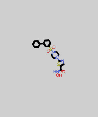 O=C(NO)c1cnc(N2CCN(S(=O)(=O)c3cccc(-c4ccccc4)c3)CC2)s1